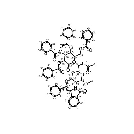 COC1O[C@H](COC(C)=O)[C@@H](OC2O[C@H](COC(=O)c3ccccc3)[C@H](OC(=O)c3ccccc3)[C@H](OC(=O)c3ccccc3)[C@H]2OC(=O)c2ccccc2)[C@H](OC(=O)c2ccccc2)[C@H]1N1C(=O)c2ccccc2C1=O